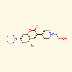 O=c1oc2cc(N3CCOCC3)ccc2cc1-c1cc[n+](CCO)cc1.[Br-]